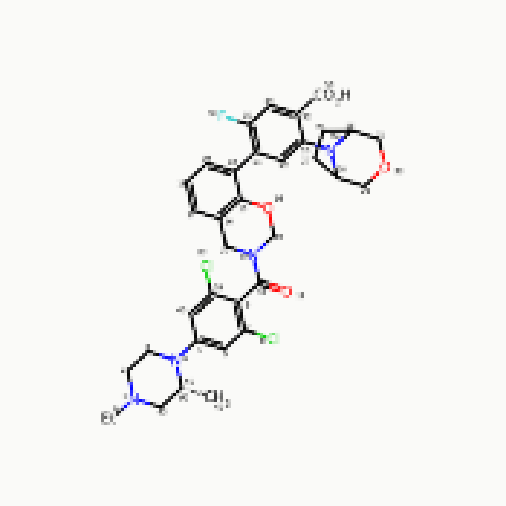 CCN1CCN(c2cc(Cl)c(C(=O)N3COc4c(cccc4-c4cc(N5C6CCC5COC6)c(C(=O)O)cc4F)C3)c(Cl)c2)[C@H](C)C1